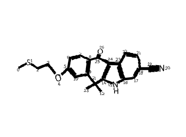 CSCCOc1ccc2c(c1)C(C)(C)c1[nH]c3cc(C#N)ccc3c1C2=O